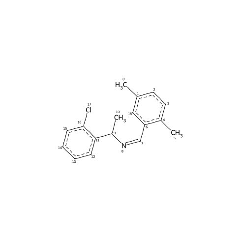 Cc1ccc(C)c(/C=N\C(C)c2ccccc2Cl)c1